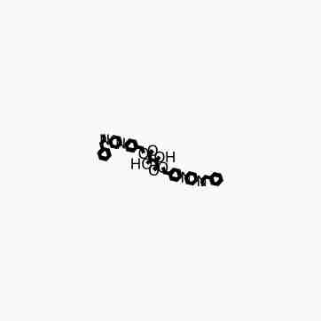 CN(Cc1ccccc1)C1CCN(c2ccc(COC(=O)C(O)C(O)C(=O)OCc3ccc(N4CCC(N(C)Cc5ccccc5)CC4)cc3)cc2)CC1